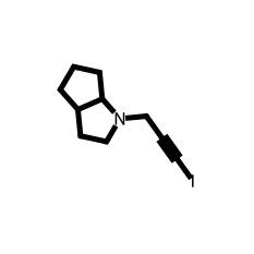 IC#CCN1CCC2CCCC21